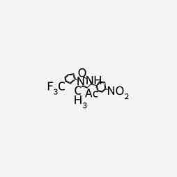 CC(=O)C1=C(C)N(c2cccc(C(F)(F)F)c2)C(=O)NC1c1ccc([N+](=O)[O-])cc1